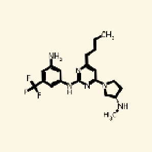 CCCCc1cc(N2CC[C@H](NC)C2)nc(Nc2cc(N)cc(C(F)(F)F)c2)n1